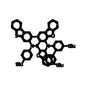 CC(C)(C)c1ccc(N2B3c4oc5ccc(C(C)(C)C)cc5c4N(c4ccc(C(C)(C)C)cc4-c4ccccc4)c4c3c(cc3c4oc4ccccc43)-c3cc4c(cc32)sc2ccccc24)cc1